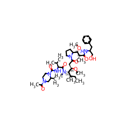 CC[C@H](C)[C@@H]([C@@H](CC(=O)N1CCCC1[C@H](OC)[C@@H](C)C(=O)NC(CO)Cc1ccccc1)OC)N(C)C(=O)C(NC(=O)N1CCN(C(C)=O)CC1C)C(C)C